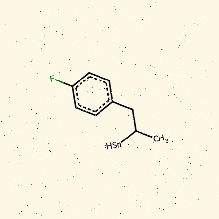 C[CH]([SnH])Cc1ccc(F)cc1